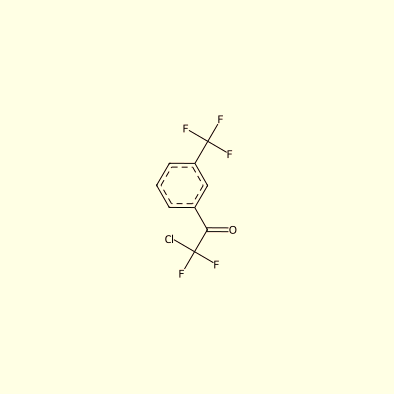 O=C(c1cccc(C(F)(F)F)c1)C(F)(F)Cl